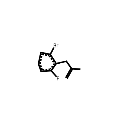 C=C(C)Cc1c(F)cccc1Br